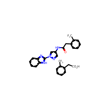 O=C(Cc1ccccc1C(F)(F)F)Nc1cnn(-c2nc3ccccc3[nH]2)c1.O=C(O)Cc1ccccc1C(F)(F)F